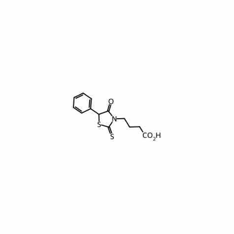 O=C(O)CCCN1C(=O)C(c2ccccc2)SC1=S